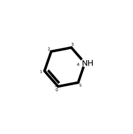 [C]1=CCCNC1